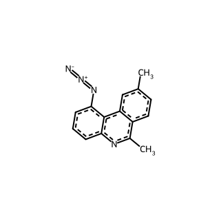 Cc1ccc2c(C)nc3cccc(N=[N+]=[N-])c3c2c1